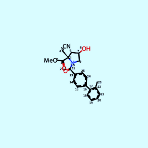 COC(=O)[C@]1(CC#N)C[C@@H](O)CN1C(=O)c1ccc(-c2ccccc2C)cc1